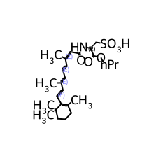 CCCOC(=O)[C@H](CS(=O)(=O)O)NC(=O)\C=C(C)/C=C/C=C(C)/C=C/C1=C(C)CCCC1(C)C